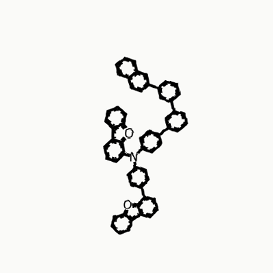 c1cc(-c2ccc(N(c3ccc(-c4cccc5c4oc4ccccc45)cc3)c3cccc4c3oc3ccccc34)cc2)cc(-c2cccc(-c3ccc4ccccc4c3)c2)c1